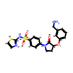 NCc1cccc(OC2CCN(c3ccc(S(=O)(=O)Nc4nccs4)cc3)C2=O)c1